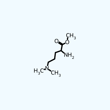 COC(=O)C(N)CCCN(C)C